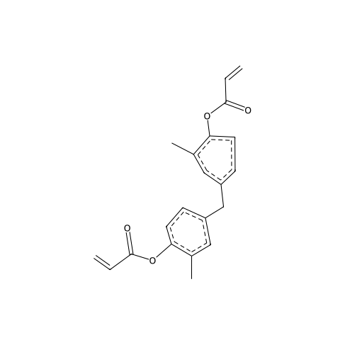 C=CC(=O)Oc1ccc(Cc2ccc(OC(=O)C=C)c(C)c2)cc1C